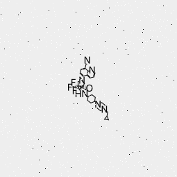 N#Cc1ccc(N2C[C@@]3(C(=O)NC4CCC(N5CCN(CC6CC6)CC5)CC4)C[C@@]3(C(F)(F)F)C2)c2cccnc12